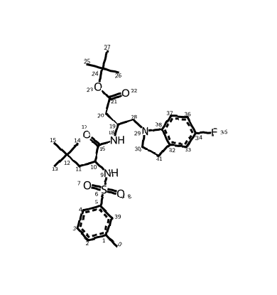 Cc1cccc(S(=O)(=O)NC(CC(C)(C)C)C(=O)N[C@@H](CC(=O)OC(C)(C)C)CN2CCc3cc(F)ccc32)c1